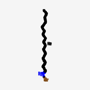 CCCCCCCCCCCCCCCCNBr.[Fe]